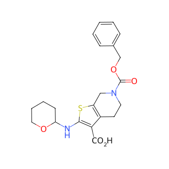 O=C(O)c1c(NC2CCCCO2)sc2c1CCN(C(=O)OCc1ccccc1)C2